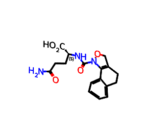 NC(=O)CC[C@H](NC(=O)N1OCC2=C1c1ccccc1CC2)C(=O)O